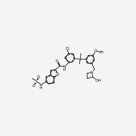 CC(C)Oc1cc(CN2CCC2O)cc(C(C)(C)c2cc(Cl)cc(NC(=O)c3cc4cc(NS(C)(=O)=O)ccc4s3)c2)c1